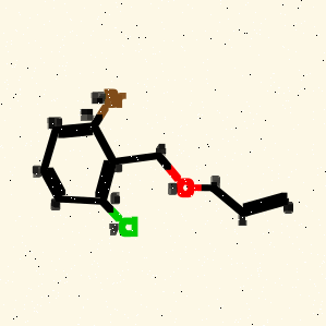 C=CCOCc1c(Cl)cccc1Br